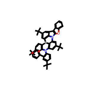 CC(C)(C)c1ccc(N2c3cc(C(C)(C)C)ccc3B3c4c2cc(C(C)(C)C)cc4-n2c4oc5ccccc5c4c4cc(C(C)(C)C)cc3c42)c(-c2ccccc2)c1